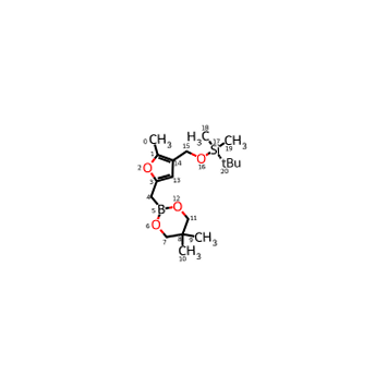 Cc1oc(CB2OCC(C)(C)CO2)cc1CO[Si](C)(C)C(C)(C)C